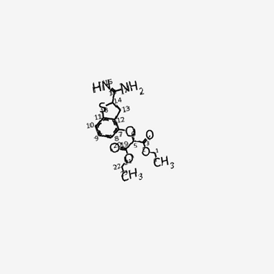 CCOC(=O)C(Oc1cccc2c1CC(C(=N)N)S2)C(=O)OCC